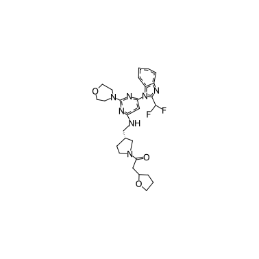 O=C(CC1CCCO1)N1CC[C@H](CNc2cc(-n3c(C(F)F)nc4ccccc43)nc(N3CCOCC3)n2)C1